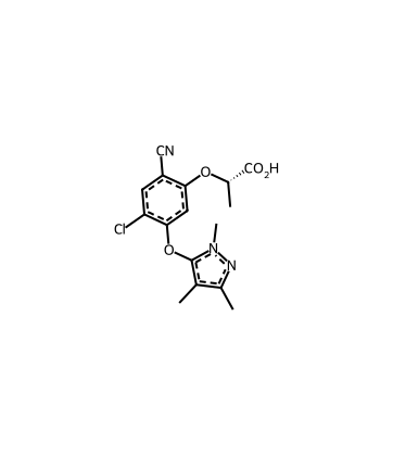 Cc1nn(C)c(Oc2cc(O[C@@H](C)C(=O)O)c(C#N)cc2Cl)c1C